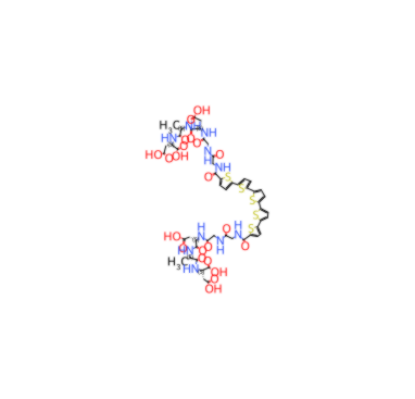 C[C@H](NC(=O)[C@H](CC(=O)O)NC(=O)CNC(=O)CNC(=O)c1ccc(-c2ccc(-c3ccc(-c4ccc(-c5ccc(C(=O)NCC(=O)NCC(=O)N[C@@H](CC(=O)O)C(=O)N[C@@H](C)C(=O)N[C@@H](CC(=O)O)C(=O)O)s5)s4)s3)s2)s1)C(=O)N[C@@H](CC(=O)O)C(=O)O